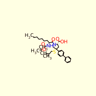 C=CCCCCCC(NC(=O)OC(C)(C)C)C(=O)N1C[C@](SCCCC)(c2ccc(-c3ccccc3)cc2)C[C@H]1C(=O)O